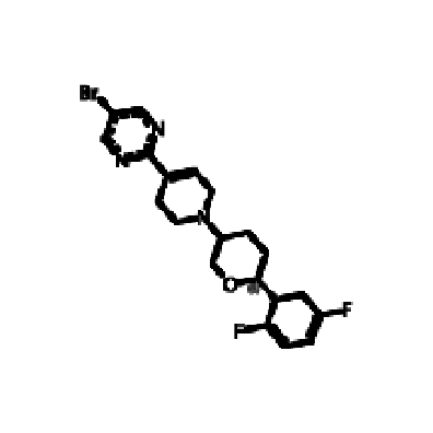 FC1=CC=C(F)C([C@@H]2CCC(N3CC=C(c4ncc(Br)cn4)CC3)CO2)C1